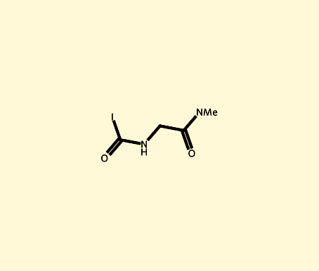 CNC(=O)CNC(=O)I